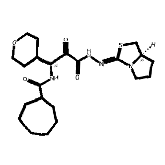 O=C(NN=C1SC[C@H]2CCCN12)C(=O)[C@@H](NC(=O)C1CCCCCC1)C1CCOCC1